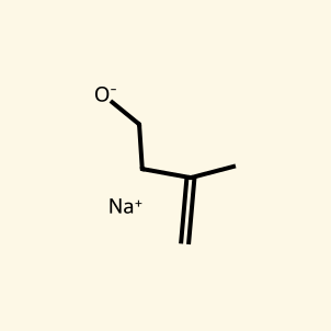 C=C(C)CC[O-].[Na+]